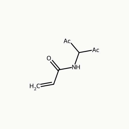 C=CC(=O)NC(C(C)=O)C(C)=O